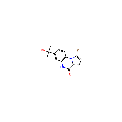 CC(C)(O)c1ccc2c(c1)[nH]c(=O)c1ccc(Br)n12